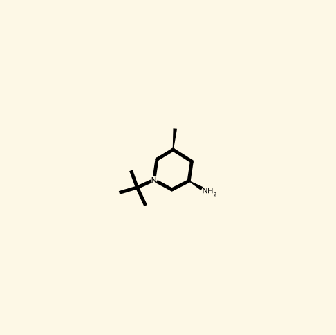 C[C@H]1C[C@@H](N)CN(C(C)(C)C)C1